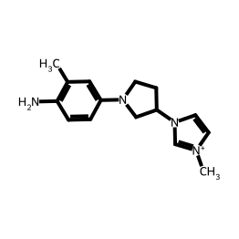 Cc1cc(N2CCC(n3cc[n+](C)c3)C2)ccc1N